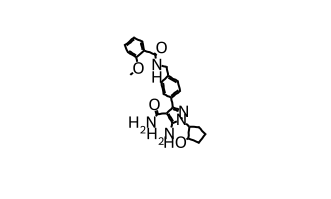 COc1ccccc1C(=O)NCc1ccc(-c2nn(C3CCCC3O)c(N)c2C(N)=O)cc1